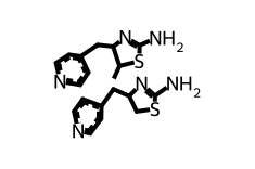 CC1SC(N)=NC1Cc1ccncc1.NC1=NC(Cc2ccncc2)CS1